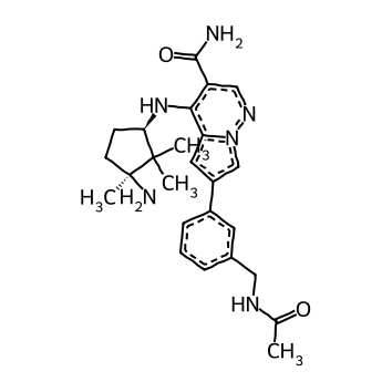 CC(=O)NCc1cccc(-c2cc3c(N[C@@H]4CC[C@](C)(N)C4(C)C)c(C(N)=O)cnn3c2)c1